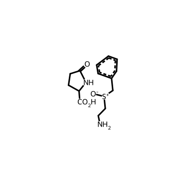 NCC[S+]([O-])Cc1ccccc1.O=C1CCC(C(=O)O)N1